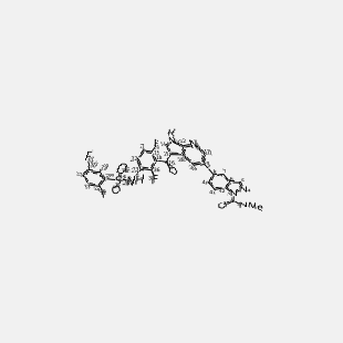 CNC(=O)n1ncc2cc(-c3cnc4[nH]cc(C(=O)c5c(F)ccc(NS(=O)(=O)c6cc(F)ccc6F)c5F)c4c3)ccc21